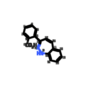 O=C(O)c1ccccc1C1=NNc2ccccc2C=C1